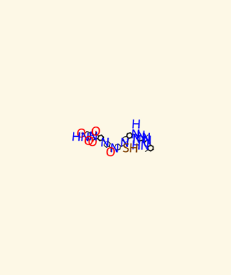 Cc1cccc(C)c1Nc1nn(C)c2nc(Nc3ccc4c(c3)CN(C(S)C3CCN(C(=O)C5CCN(c6ccc7c(c6)C(=O)N(C6CCC(=O)NC6=O)C7=O)CC5)CC3)CC4)ncc12